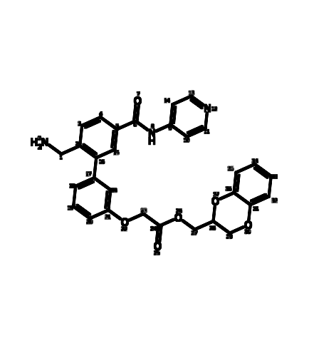 NCc1ccc(C(=O)Nc2ccncc2)cc1-c1cccc(OCC(=O)OCC2COc3ccccc3O2)c1